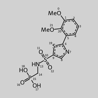 COc1cccc(-c2ncc(S(=O)(=O)NCP(=O)(O)O)s2)c1OC